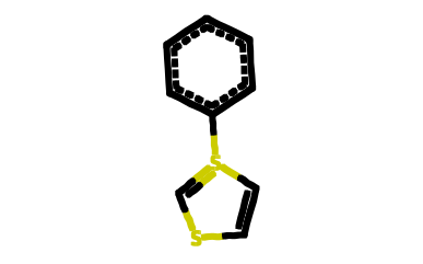 C1=CS(c2ccccc2)=CS1